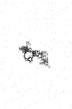 CC(C)C[C@H]1C(=O)N[C@H](C(=O)N[C@@H](CCCNC(=N)N)C(=O)N(C)C)Cc2ccc(cc2)OCCC[C@@H]1C(=O)NO